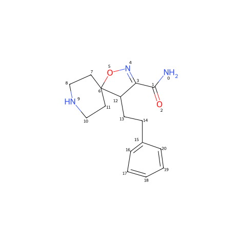 NC(=O)C1=NOC2(CCNCC2)C1CCc1ccccc1